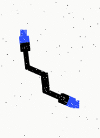 N#CC=CCC#N